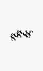 CC(C)[C@@H]1COCC(CC[C@@H]2COCC(C[C@@H]3COC[C@@H](C)N3C)N2C)N1C